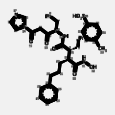 CC(C)C[C@@H](C(=O)NN(CC(C)C)C(=O)CC(=O)n1ccnc1)[C@H](CCCc1ccccc1)C(=O)NO.Cc1ccc(S(=O)(=O)O)cc1